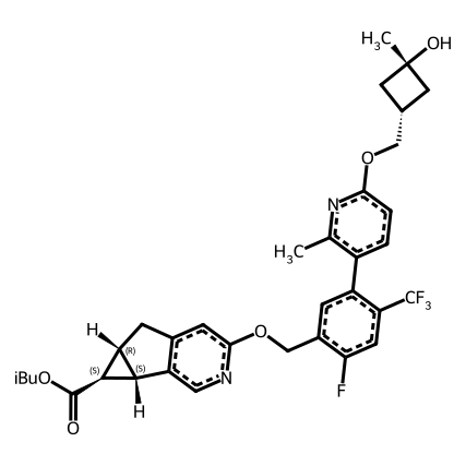 Cc1nc(OC[C@H]2C[C@@](C)(O)C2)ccc1-c1cc(COc2cc3c(cn2)[C@H]2[C@@H](C3)[C@@H]2C(=O)OCC(C)C)c(F)cc1C(F)(F)F